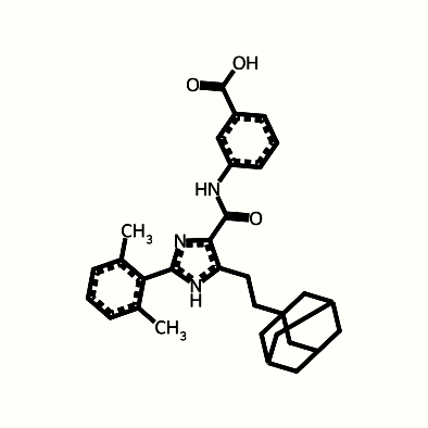 Cc1cccc(C)c1-c1nc(C(=O)Nc2cccc(C(=O)O)c2)c(CCC23CC4CC(CC(C4)C2)C3)[nH]1